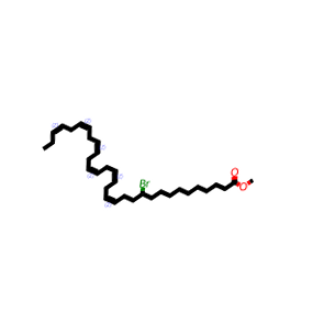 CC/C=C\C/C=C\C/C=C\C/C=C\C/C=C\C/C=C\CCC(Br)CCCCCCCCCC(=O)OC